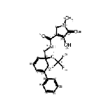 CN1CC(C(=O)NCC2(OC(F)(F)F)C=CC=C(c3ccccc3)C2)=C(O)C1=O